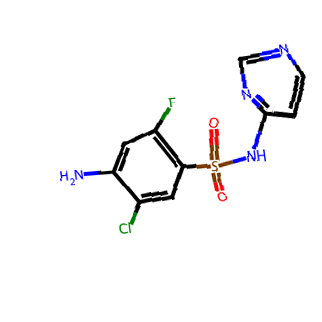 Nc1cc(F)c(S(=O)(=O)Nc2ccncn2)cc1Cl